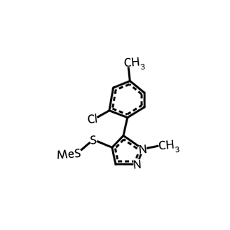 CSSc1cnn(C)c1-c1ccc(C)cc1Cl